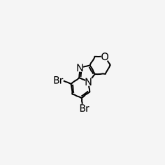 Brc1cc(Br)c2nc3c(n2c1)CCOC3